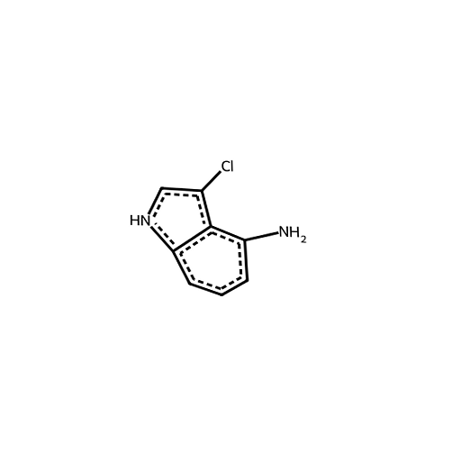 Nc1cccc2[nH]cc(Cl)c12